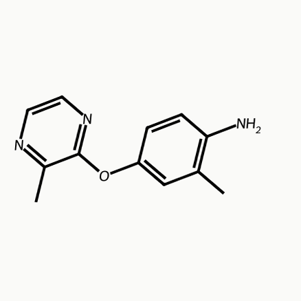 Cc1cc(Oc2nccnc2C)ccc1N